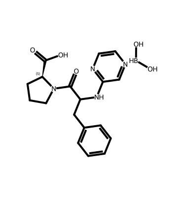 O=C(O)[C@@H]1CCCN1C(=O)C(Cc1ccccc1)Nc1cnccn1.OBO